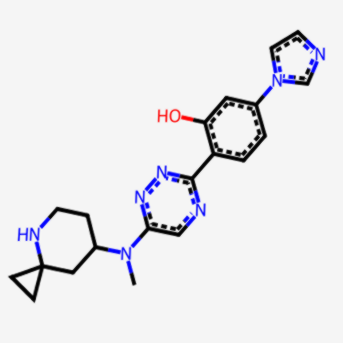 CN(c1cnc(-c2ccc(-n3ccnc3)cc2O)nn1)C1CCNC2(CC2)C1